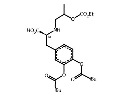 CCOC(=O)OC(C)CN[C@@H](Cc1ccc(OC(=O)C(C)CC)c(OC(=O)C(C)CC)c1)C(=O)O